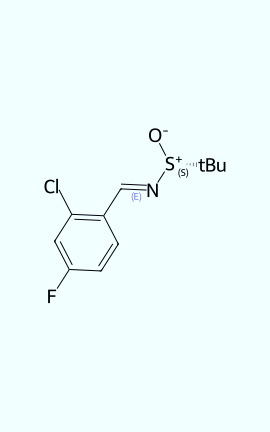 CC(C)(C)[S@@+]([O-])/N=C/c1ccc(F)cc1Cl